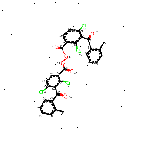 Cc1ccccc1C(=O)c1c(Cl)ccc(C(=O)OOC(=O)c2ccc(Cl)c(C(=O)c3ccccc3C)c2Cl)c1Cl